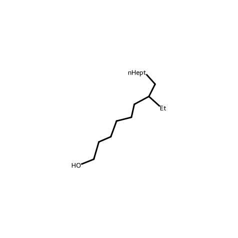 CCCCCCCCC(CC)CCCCCCO